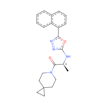 C[C@H](Nc1nnc(-c2cccc3ccccc23)o1)C(=O)N1CCC2(CC1)CC2